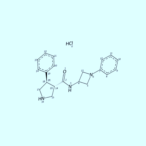 Cl.O=C(NC1CN(c2ccccc2)C1)[C@@H]1CNC[C@H]1c1ccccc1